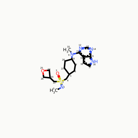 CN=S(=O)(CC1CCC(N(C)c2ncnc3[nH]ccc23)CC1)CC1COC1